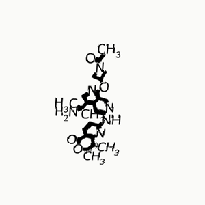 CCC(=O)N1CC(Oc2ncc(C(C)(C)N)c3cc(Nc4ccc5c(n4)[C@@H](C)[C@H](C)OC5=O)ncc23)C1